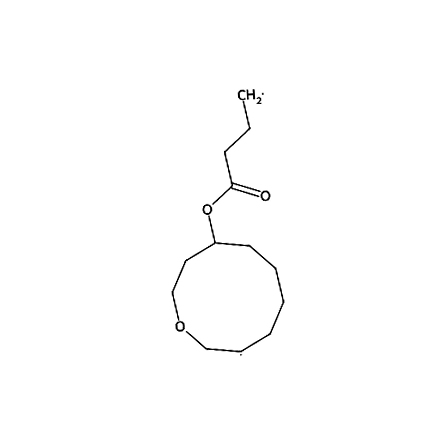 [CH2]CCC(=O)OC1CCCC[CH]COCC1